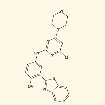 Oc1ccc(Nc2nc(Cl)nc(N3CCOCC3)n2)cc1-c1nc2ccccc2s1